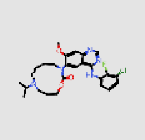 COc1cc2ncnc(Nc3cccc(Cl)c3F)c2cc1N1CCCCN(C(C)C)CCCOC1=O